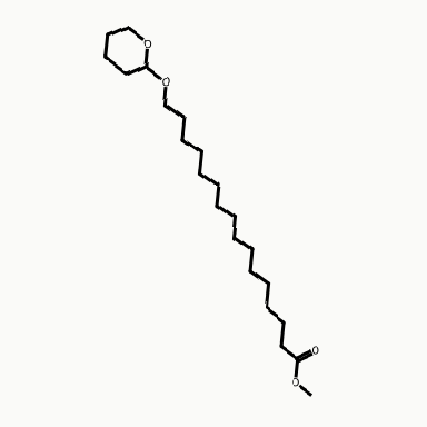 COC(=O)CCCCCCCCCCCCCCCOC1CCCCO1